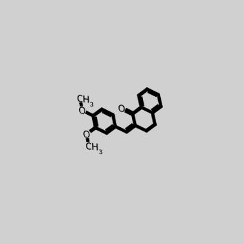 COc1ccc(C=C2CCc3ccccc3C2=O)cc1OC